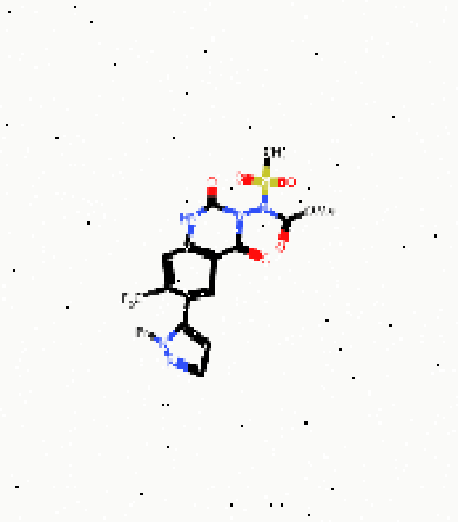 COC(=O)N(n1c(=O)[nH]c2cc(C(F)(F)F)c(-c3ccnn3C(C)C)cc2c1=O)S(C)(=O)=O